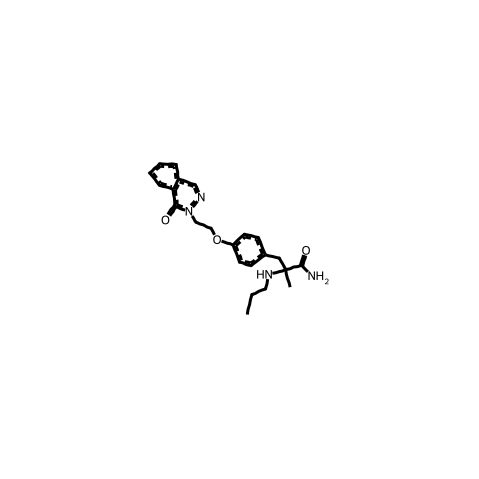 CCCNC(C)(Cc1ccc(OCCn2ncc3ccccc3c2=O)cc1)C(N)=O